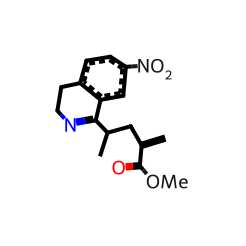 C=C(CC(C)C1=NCCc2ccc([N+](=O)[O-])cc21)C(=O)OC